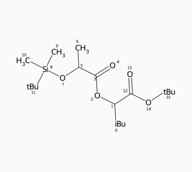 CCC(C)C(OC(=O)C(C)O[Si](C)(C)C(C)(C)C)C(=O)OC(C)(C)C